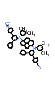 [C-]#[N+]c1ccc(-c2cc(-c3ccccc3)cc(N(c3cc(C)cc(C)c3)c3ccc4ccc5c(N(c6cc(C)cc(C)c6)c6cc(-c7ccccc7)cc(-c7ccc(C#N)cc7)c6)ccc6ccc3c4c65)c2)cc1